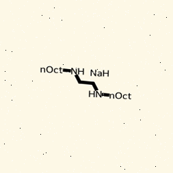 CCCCCCCCNCCNCCCCCCCC.[NaH]